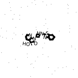 C[C@]1(O)C(=O)N(C2CC(Nc3nc4ccccc4s3)C2)c2ncccc21